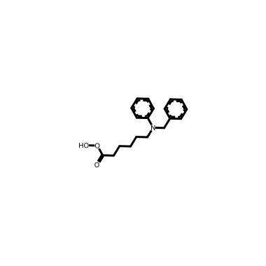 O=C(CCCCCN(Cc1ccccc1)c1ccccc1)OO